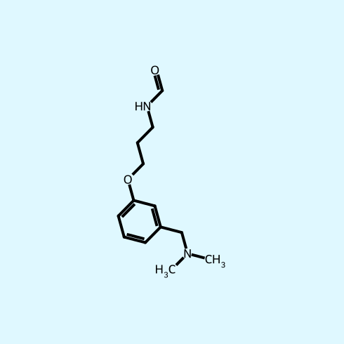 CN(C)Cc1cccc(OCCCNC=O)c1